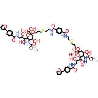 CC(=O)N[C@H]1[C@H]([C@H](O)[C@H](O)CNC(=O)c2ccc(-c3ccco3)cc2)O[C@@](OCCCSCCNC(=O)c2ccc(C(=O)NCCSCCCO[C@]3(C(=O)O)C[C@H](O)[C@@H](NC(C)=O)[C@H]([C@H](O)[C@@H](O)CNC(=O)c4ccc(-c5ccco5)cc4)O3)cc2)(C(=O)O)C[C@@H]1O